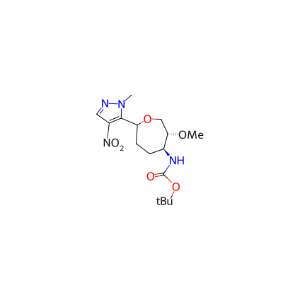 CO[C@H]1COC(c2c([N+](=O)[O-])cnn2C)CC[C@@H]1NC(=O)OC(C)(C)C